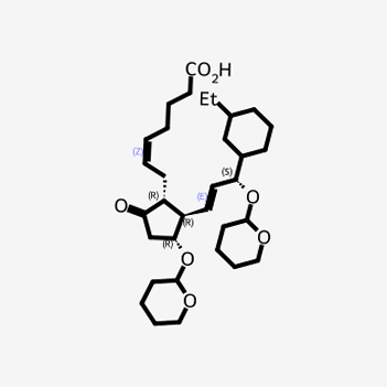 CCC1CCCC([C@@H](/C=C/[C@H]2[C@H](OC3CCCCO3)CC(=O)[C@@H]2C/C=C\CCCC(=O)O)OC2CCCCO2)C1